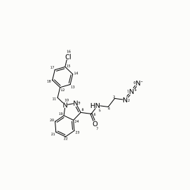 [N-]=[N+]=NCCNC(=O)c1nn(Cc2ccc(Cl)cc2)c2ccccc12